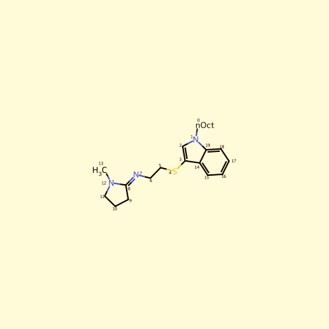 CCCCCCCCn1cc(SCC/N=C2\CCCN2C)c2ccccc21